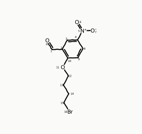 O=Cc1cc([N+](=O)[O-])ccc1OCCCCBr